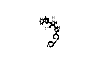 Cc1cc(-c2[nH]nc(-c3ncc(C4CCN(CC5CCOCC5)CC4)s3)c2CC(F)(F)F)cn2ncnc12